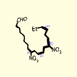 CC/C=C\C/C=C(\C/C=C\C/C(=C\CCCCCC[C]=O)[N+](=O)[O-])[N+](=O)[O-]